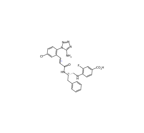 Nc1nnnn1-c1ccc(Cl)cc1/C=C/C(=O)N[C@H](CNc1ccc(C(=O)O)cc1F)Cc1ccccc1